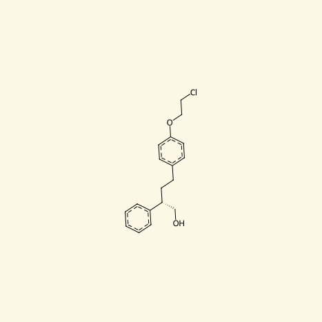 OC[C@@H](CCc1ccc(OCCCl)cc1)c1ccccc1